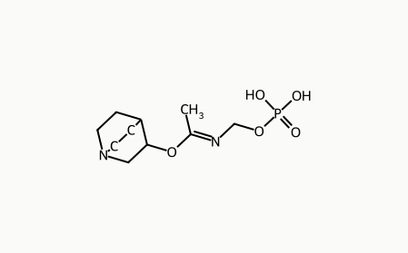 C/C(=N\COP(=O)(O)O)OC1CN2CCC1CC2